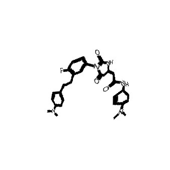 CN(C)c1ccc(CCc2cc(N3C(=O)NC(CC(=O)Nc4ccc(N(C)C)cc4)C3=O)ccc2F)cc1